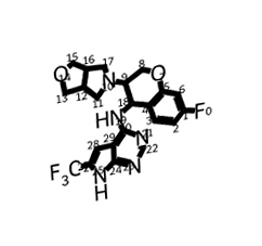 Fc1ccc2c(c1)OCC(N1CC3COCC3C1)C2Nc1ncnc2[nH]c(C(F)(F)F)cc12